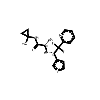 CCC[C@H](N[C@@H](c1ccsc1)C(F)(F)c1ccccn1)C(=O)NC1(C#N)CC1